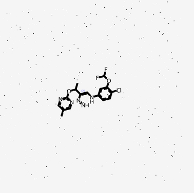 Cc1cnc(OC(C)/C(=C/Nc2ccc(Cl)c(OC(F)F)c2)N=N)nc1